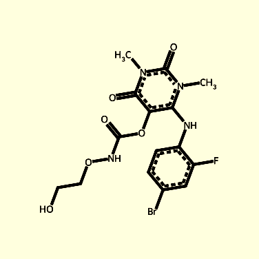 Cn1c(Nc2ccc(Br)cc2F)c(OC(=O)NOCCO)c(=O)n(C)c1=O